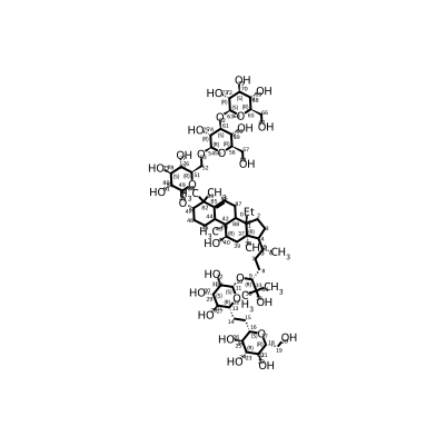 CC[C@@]12CCC([C@H](C)CC[C@@H](O[C@@H]3O[C@H](CC[C@@H]4O[C@H](CO)[C@@H](O)[C@H](O)[C@H]4O)[C@@H](O)[C@H](O)[C@H]3O)C(C)(C)O)[C@@]1(C)C[C@@H](O)[C@@]1(C)C3CC[C@H](O[C@@H]4O[C@H](CO[C@@H]5O[C@H](CO)[C@@H](O)[C@H](O[C@@H]6O[C@H](CO)[C@@H](O)[C@H](O)[C@H]6O)[C@H]5O)[C@@H](O)[C@H](O)[C@H]4O)C(C)(C)C3=CCC12